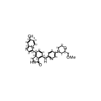 COC[C@H]1CN(c2ccc(Nc3ccc(-c4cnc5cc(C)ccn45)c4c3C(=O)NC4)nc2)CCO1